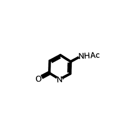 CC(=O)NC1=C[N]C(=O)C=C1